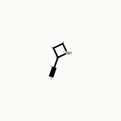 C#CC1CCN1